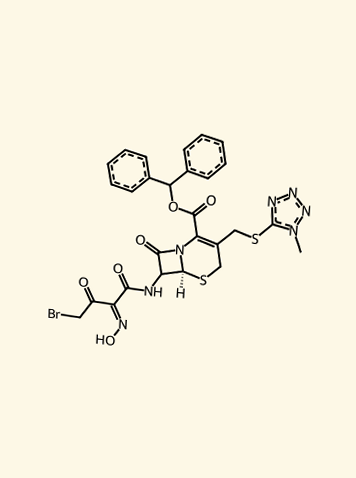 Cn1nnnc1SCC1=C(C(=O)OC(c2ccccc2)c2ccccc2)N2C(=O)C(NC(=O)C(=NO)C(=O)CBr)[C@@H]2SC1